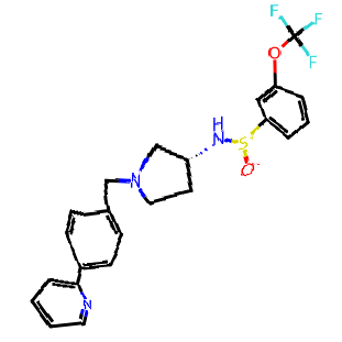 [O-][S+](N[C@@H]1CCN(Cc2ccc(-c3ccccn3)cc2)C1)c1cccc(OC(F)(F)F)c1